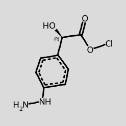 NNc1ccc([C@@H](O)C(=O)OCl)cc1